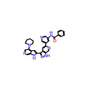 O=C(Nc1cncc(-c2cc3c(-c4cc5c(N6CCCCC6)cncc5[nH]4)n[nH]c3cn2)c1)c1ccccc1